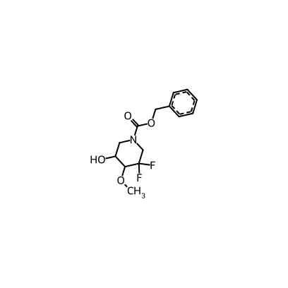 COC1C(O)CN(C(=O)OCc2ccccc2)CC1(F)F